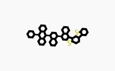 c1ccc(-c2c3ccccc3c(-c3ccc(-c4cc5sc6ccc7c8ccccc8sc7c6c5c5ccccc45)c4ccccc34)c3ccccc23)cc1